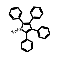 C[SiH]1C(c2ccccc2)=C(c2ccccc2)C(c2ccccc2)=C1c1ccccc1